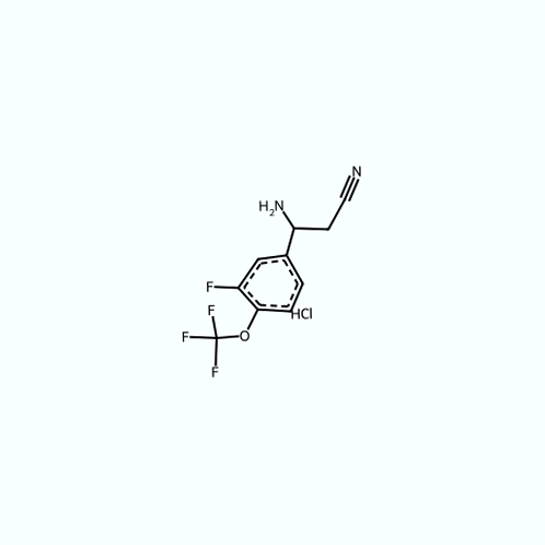 Cl.N#CCC(N)c1ccc(OC(F)(F)F)c(F)c1